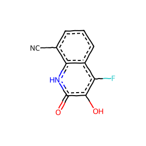 N#Cc1cccc2c(F)c(O)c(=O)[nH]c12